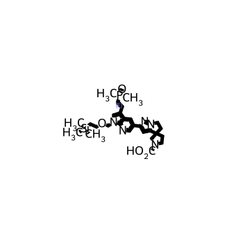 C[Si](C)(C)CCOCn1cc(/C=C/P(C)(C)=O)c2cc(-c3cc4n(n3)CCC43CCN(C(=O)O)C3)cnc21